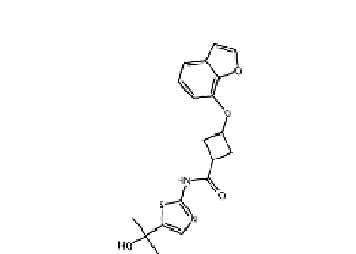 CC(C)(O)c1cnc(NC(=O)C2CC(Oc3cccc4ccoc34)C2)s1